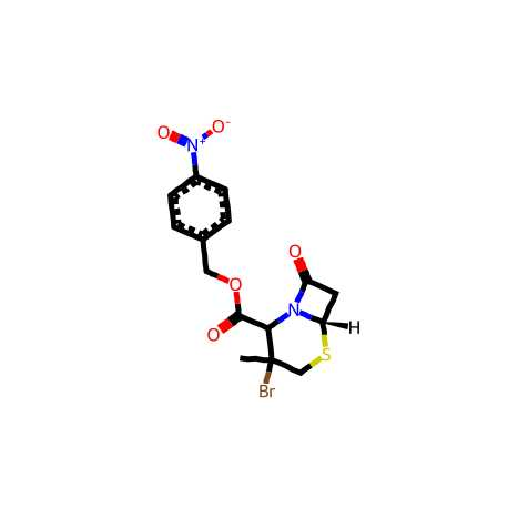 CC1(Br)CS[C@H]2CC(=O)N2C1C(=O)OCc1ccc([N+](=O)[O-])cc1